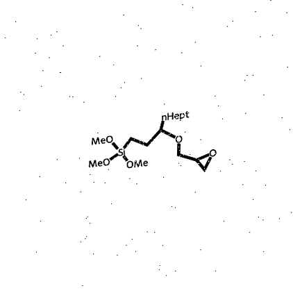 CCCCCCCC(CC[Si](OC)(OC)OC)OCC1CO1